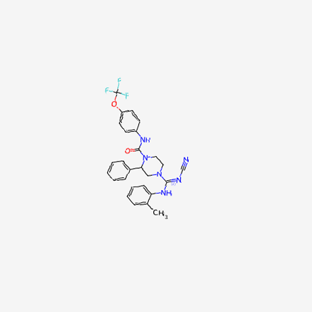 Cc1ccccc1N/C(=N/C#N)N1CCN(C(=O)Nc2ccc(OC(F)(F)F)cc2)C(c2ccccc2)C1